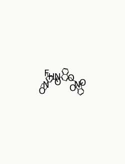 O=C(Nc1ccc(OCCN2C(=O)c3ccccc3C2=O)c2ccccc12)c1cc(F)cc(N2CCOCC2)c1